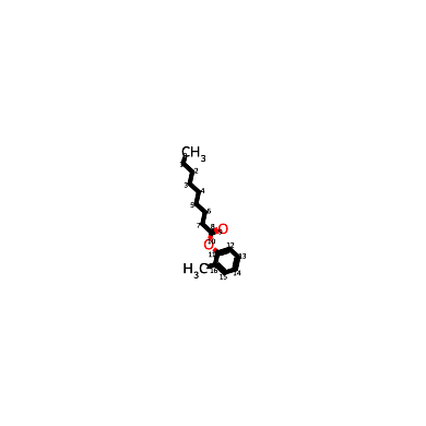 CCCCCCCCC(=O)Oc1ccccc1C